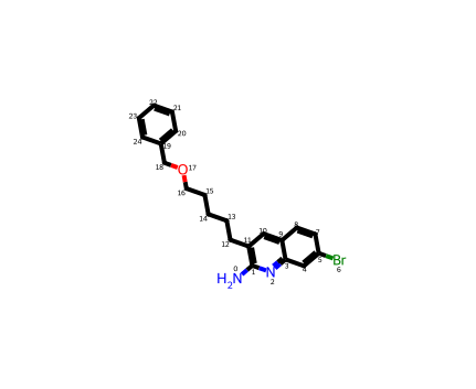 Nc1nc2cc(Br)ccc2cc1CCCCCOCc1ccccc1